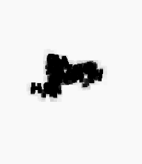 CNc1cc(-c2nc(C(=O)Nc3cc4cnn(C)c4cc3N3CCC(O)CC3)co2)ccn1